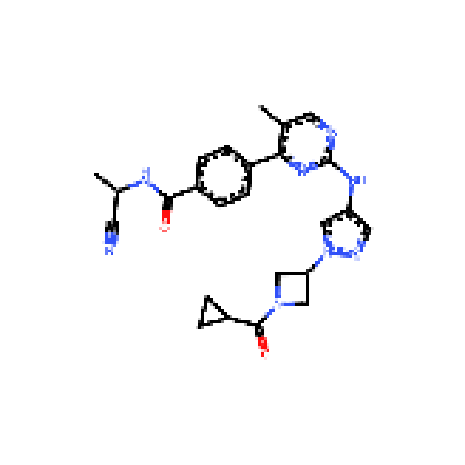 Cc1cnc(Nc2cnn(C3CN(C(=O)C4CC4)C3)c2)nc1-c1ccc(C(=O)NC(C)C#N)cc1